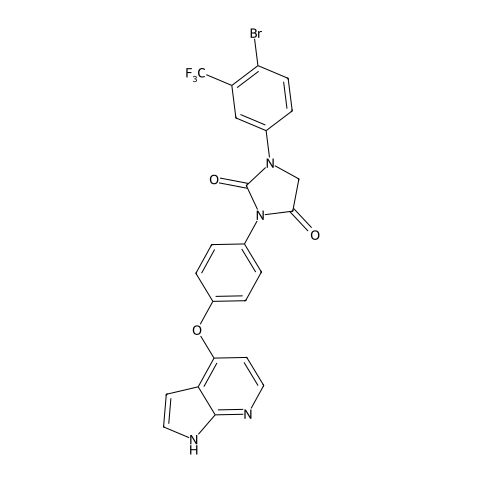 O=C1CN(c2ccc(Br)c(C(F)(F)F)c2)C(=O)N1c1ccc(Oc2ccnc3[nH]ccc23)cc1